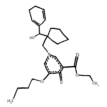 CCCCOc1cn(CC2(C(O)C3=CCCC=C3)CCCC2)cc(C(=O)OCC)c1=O